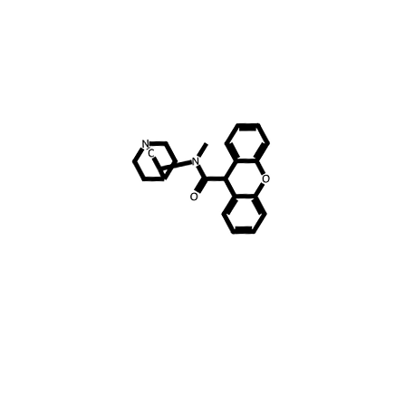 CN(C(=O)C1c2ccccc2Oc2ccccc21)C1CN2CCC1CC2